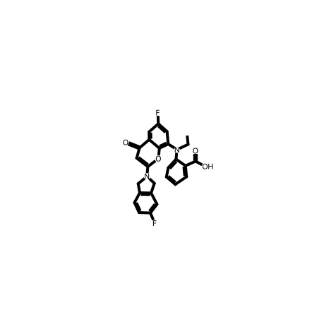 CCN(c1ccccc1C(=O)O)c1cc(F)cc2c(=O)cc(N3Cc4ccc(F)cc4C3)oc12